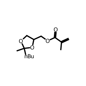 C=C(C)C(=O)OCC1COC(C)(CCCC)O1